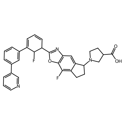 O=C(O)C1CCN(C2CCc3c2cc2nc(C4C=CC=C(c5cccc(-c6cccnc6)c5)C4F)oc2c3F)C1